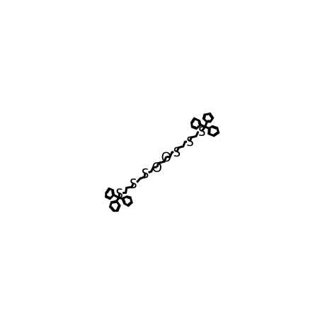 c1ccc(C(SCCCSCCCSCCOCCOCCSCCCSCCCSC(c2ccccc2)(c2ccccc2)c2ccccc2)(c2ccccc2)c2ccccc2)cc1